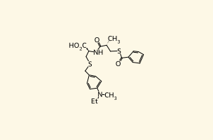 CCN(C)c1ccc(CSC[C@H](NC(=O)[C@H](C)CSC(=O)c2ccccc2)C(=O)O)cc1